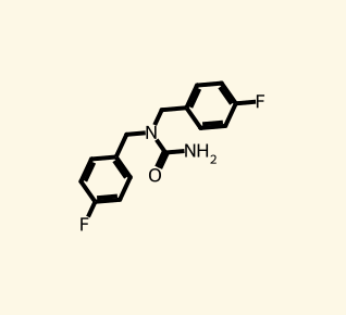 NC(=O)N(Cc1ccc(F)cc1)Cc1ccc(F)cc1